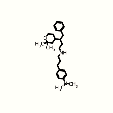 CN(C)c1ccc(CCCNCCC(Cc2ccccc2)C2CCOC(C)(C)C2)cc1